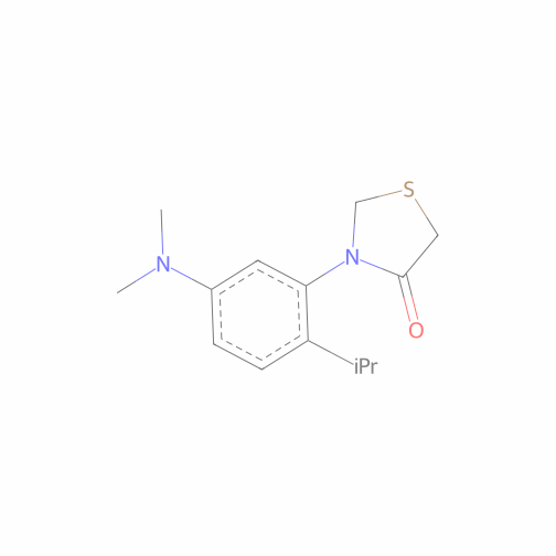 CC(C)c1ccc(N(C)C)cc1N1CSCC1=O